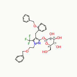 OC[C@H]1O[C@@H](Oc2nn(CCOCc3ccccc3)c(C(F)(F)F)c2Cc2ccccc2OCc2ccccc2)[C@H](O)[C@@H](O)[C@@H]1O